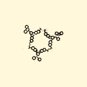 CC(C)c1ccc2cc3c(cc2c1)c1cc(C2=Cc4ccccc4C4C=CC=CC24)cc2c4cc5cc(C(C)CCC(C)c6ccc7cc8c(cc7c6)c6cc(N(c7ccccc7)c7ccccc7)cc7c9cc%10cc(C(C)CCC(C)c%11ccc%12cc%13c(cc%12c%11)c%11cc(N(c%12ccccc%12)c%12cccc%14c%12oc%12ccccc%12%14)cc%12c%14cc%15cc(C(C)C)ccc%15cc%14n%13c%12%11)ccc%10cc9n8c67)ccc5cc4n3c12